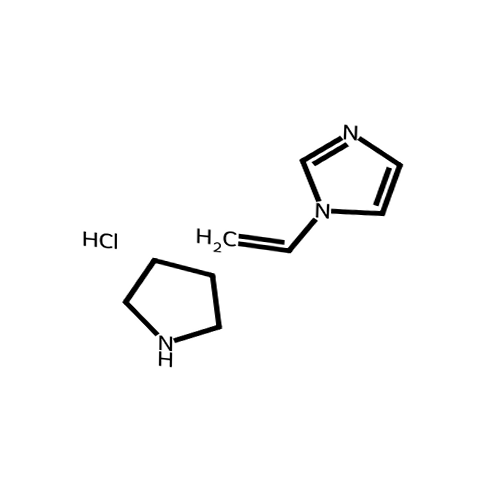 C1CCNC1.C=Cn1ccnc1.Cl